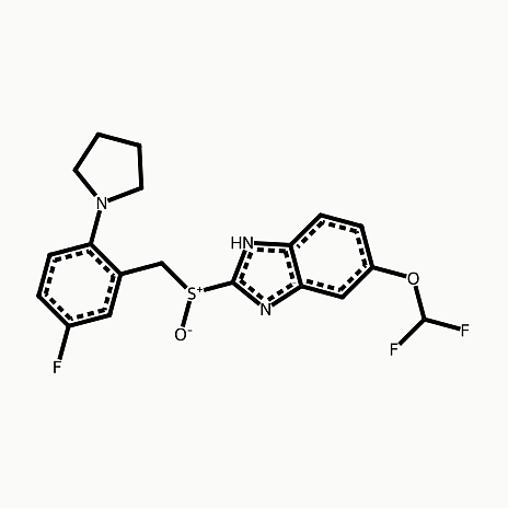 [O-][S+](Cc1cc(F)ccc1N1CCCC1)c1nc2cc(OC(F)F)ccc2[nH]1